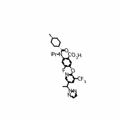 CC(C)N(c1cc(F)c(Oc2ncc(C(C)n3nccn3)cc2C(F)(F)F)cc1C(=O)O)C(=O)[C@H]1CC[C@H](C)CC1